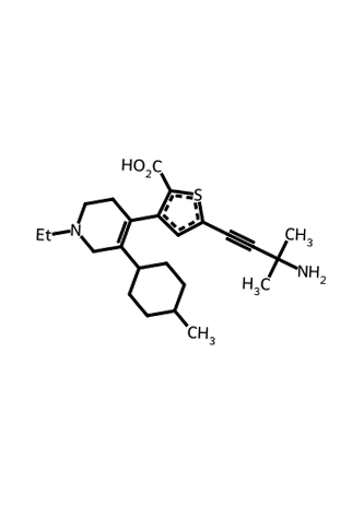 CCN1CCC(c2cc(C#CC(C)(C)N)sc2C(=O)O)=C(C2CCC(C)CC2)C1